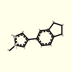 Cn1cc(-c2ccc3c(c2)CCC3)cn1